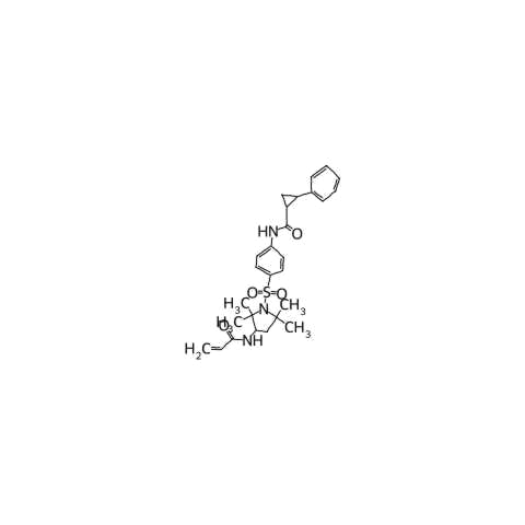 C=CC(=O)NC1CC(C)(C)N(S(=O)(=O)c2ccc(NC(=O)C3CC3c3ccccc3)cc2)C1(C)C